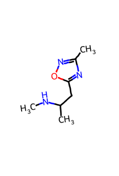 CNC(C)Cc1nc(C)no1